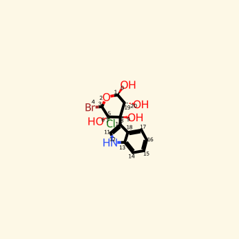 O[C@@H]1OC(Br)[C@](O)(Cl)[C@@](O)(c2c[nH]c3ccccc23)[C@H]1O